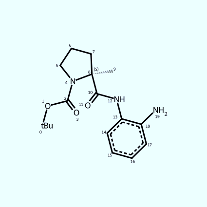 CC(C)(C)OC(=O)N1CCC[C@@]1(C)C(=O)Nc1ccccc1N